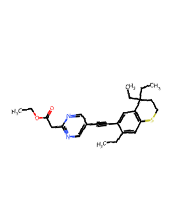 CCOC(=O)Cc1ncc(C#Cc2cc3c(cc2CC)SCCC3(CC)CC)cn1